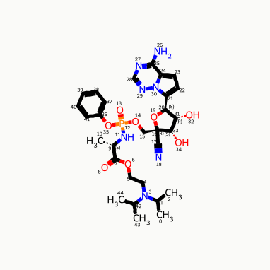 CC(C)N(CCOC(=O)[C@H](C)NP(=O)(OC[C@@]1(C#N)O[C@@H](c2ccc3c(N)ncnn23)[C@H](O)[C@@H]1O)Oc1ccccc1)C(C)C